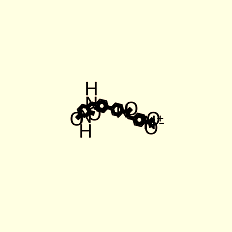 O=C1CCC(Nc2ccc(C3CCN(C(=O)Cc4ccc([N+](=O)[O-])cc4)CC3)cc2)C(=O)N1